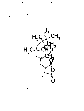 C=C(CC1CC(=O)OC1=O)CC(C)(C)CC(C)(C)C(C)(C)C